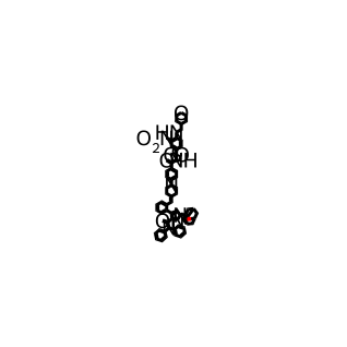 O=C(NS(=O)(=O)c1ccc(NCC2CCOCC2)c([N+](=O)[O-])c1)c1ccc(N2CCC(=Cc3ccccc3-c3cn(C45CC6CC(CC(C6)C4)C5)nc3C(=O)N(c3ccccc3)c3ccccc3)CC2)cc1